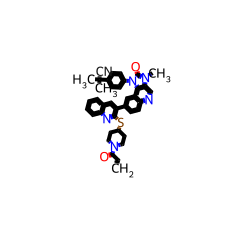 C=CC(=O)N1CCC(Sc2nc3ccccc3cc2-c2ccc3ncc4c(c3c2)n(-c2ccc(C(C)(C)C#N)cc2)c(=O)n4C)CC1